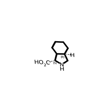 O=C(O)[C@H]1NC[C@@H]2CCCCC21